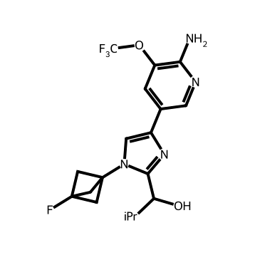 CC(C)C(O)c1nc(-c2cnc(N)c(OC(F)(F)F)c2)cn1C12CC(F)(C1)C2